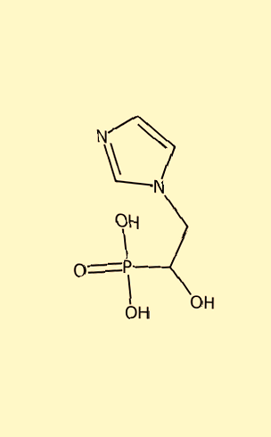 O=P(O)(O)C(O)Cn1ccnc1